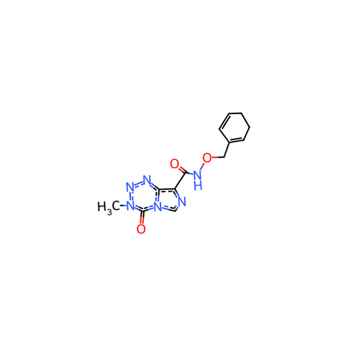 Cn1nnc2c(C(=O)NOCC3=CCCC=C3)ncn2c1=O